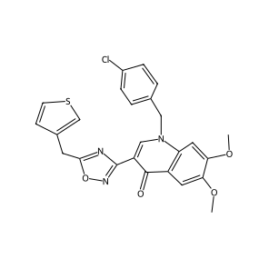 COc1cc2c(=O)c(-c3noc(Cc4ccsc4)n3)cn(Cc3ccc(Cl)cc3)c2cc1OC